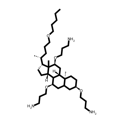 CCCCCOCCC[C@@H](C)[C@H]1CC[C@H]2C3[C@H](OCCCN)CC4C[C@H](OCCCN)CC[C@]4(C)[C@H]3C[C@H](OCCCN)C12C